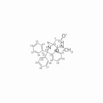 CNC(=O)C1(CC=O)CN1C(c1ccccc1)(c1ccccc1)c1ccccc1